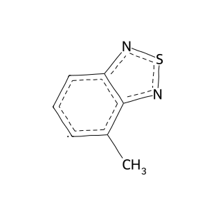 Cc1[c]ccc2nsnc12